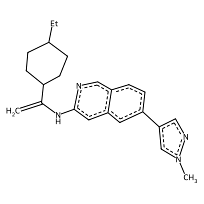 C=C(Nc1cc2cc(-c3cnn(C)c3)ccc2cn1)C1CCC(CC)CC1